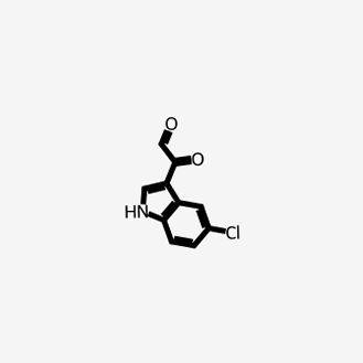 O=CC(=O)c1c[nH]c2ccc(Cl)cc12